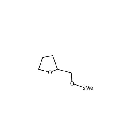 CSOCC1CCCO1